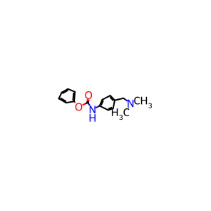 CN(C)Cc1ccc(NC(=O)Oc2ccccc2)cc1